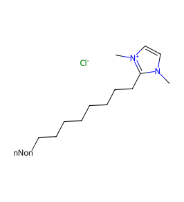 CCCCCCCCCCCCCCCCCc1n(C)cc[n+]1C.[Cl-]